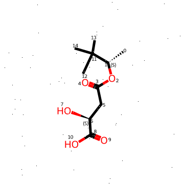 C[C@H](OC(=O)C[C@H](O)C(=O)O)C(C)(C)C